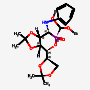 CCOC(OCC)[P@]1(=O)O[C@H]([C@H]2COC(C)(C)O2)[C@@H]2OC(C)(C)O[C@@H]2[C@@H]1Nc1ccccc1